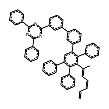 C=C/C=C\C=C(/C)c1c(-c2ccccc2)c(-c2ccccc2)cc(-c2cccc(-c3cccc(-c4nc(-c5ccccc5)nc(-c5ccccc5)n4)c3)c2)c1-c1ccccc1